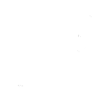 COc1ccc(S(=O)(=O)c2ccc(CNC(=O)c3cc4cnccc4[nH]3)cc2)c(Cl)c1